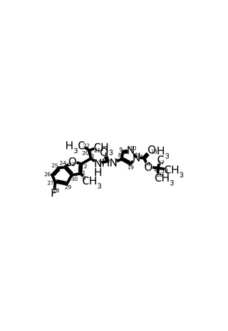 Cc1c(C(NC(=O)Nc2cnn(C(=O)OC(C)(C)C)c2)C(C)C)oc2ccc(F)cc12